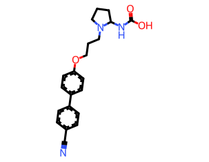 N#Cc1ccc(-c2ccc(OCCCN3CCCC3NC(=O)O)cc2)cc1